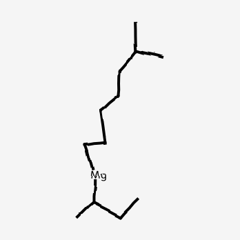 CC[CH](C)[Mg][CH2]CCCCC(C)C